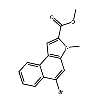 COC(=O)c1cc2c3ccccc3c(Br)cc2n1C